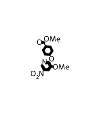 COc1cc([N+](=O)[O-])cnc1O[C@H]1CC[C@H](C(=O)OC)CC1